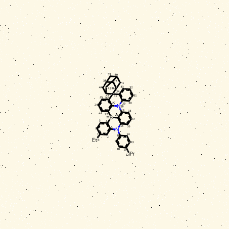 CCc1ccc2c(c1)N(c1ccc(C(C)C)cc1)c1cccc3c1B2c1cccc2c1N3c1ccccc1C21C2CC3CC(C2)CC1C3